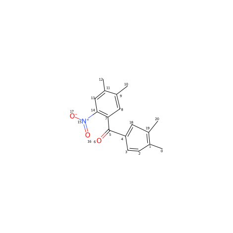 Cc1ccc(C(=O)c2cc(C)c(C)cc2[N+](=O)[O-])cc1C